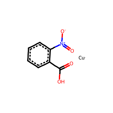 O=C(O)c1ccccc1[N+](=O)[O-].[Cu]